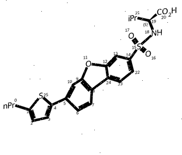 CCCc1ccc(-c2ccc3c(c2)oc2cc(S(=O)(=O)N[C@H](C(=O)O)C(C)C)ccc23)s1